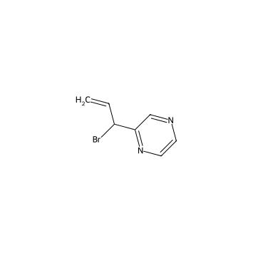 C=CC(Br)c1cnccn1